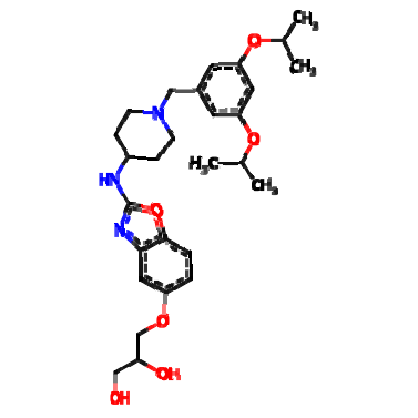 CC(C)Oc1cc(CN2CCC(Nc3nc4cc(OCC(O)CO)ccc4o3)CC2)cc(OC(C)C)c1